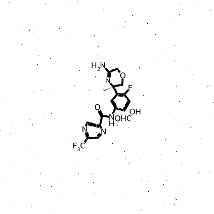 C[C@@]1(c2cc(NC(=O)c3cnc(C(F)(F)F)cn3)ccc2F)COCC(N)=N1.O=CO